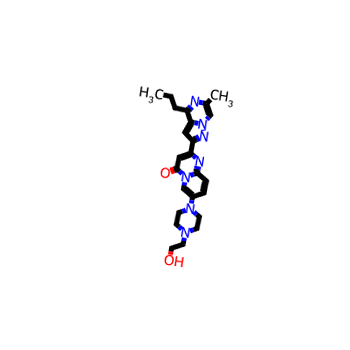 CCCc1nc(C)cn2nc(-c3cc(=O)n4cc(N5CCN(CCO)CC5)ccc4n3)cc12